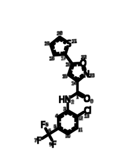 O=C(Nc1cc(C(F)(F)F)ccc1Cl)c1cc(-c2cccs2)on1